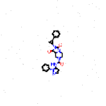 O=C(Nc1ccnn1-c1ccccc1)N1CCN2C(=O)N(C3CC3c3ccccc3)C(=O)C2C1